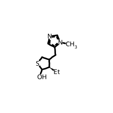 CC[C@@H]1C(Cc2cncn2C)CSC1O